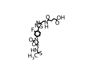 CC(=S)NC[C@@H]1CN(c2ccc(-c3nnc(CNC(=O)CCC(=O)O)s3)c(F)c2)C(=O)O1